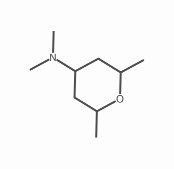 CC1CC(N(C)C)CC(C)O1